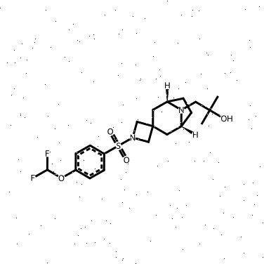 CC(C)(O)CN1[C@@H]2CC[C@H]1CC1(C2)CN(S(=O)(=O)c2ccc(OC(F)F)cc2)C1